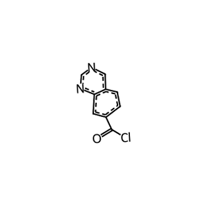 O=C(Cl)c1ccc2cncnc2c1